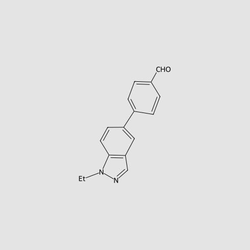 CCn1ncc2cc(-c3ccc(C=O)cc3)ccc21